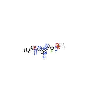 CC(C)CC(=O)Nc1cncc(-c2ccc3[nH]nc(-c4cc5c(-c6cc(F)cc(CNS(C)(=O)=O)c6)ccnc5[nH]4)c3c2)c1